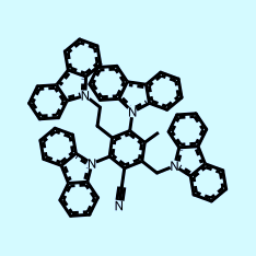 Cc1c(Cn2c3ccccc3c3ccccc32)c(C#N)c(-n2c3ccccc3c3ccccc32)c(CCn2c3ccccc3c3ccccc32)c1-n1c2ccccc2c2ccccc21